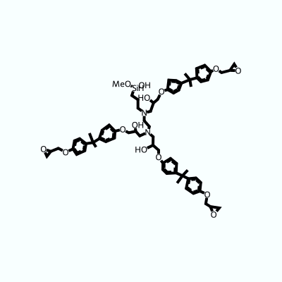 CO[SiH](O)CCCN(CCN(CC(O)COc1ccc(C(C)(C)c2ccc(OCC3CO3)cc2)cc1)CC(O)COc1ccc(C(C)(C)c2ccc(OCC3CO3)cc2)cc1)CC(O)COc1ccc(C(C)(C)c2ccc(OCC3CO3)cc2)cc1